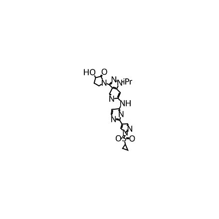 CC(C)n1nc(N2CCC(O)C2=O)c2cnc(Nc3ccnc(-c4cnn(S(=O)(=O)C5CC5)c4)n3)cc21